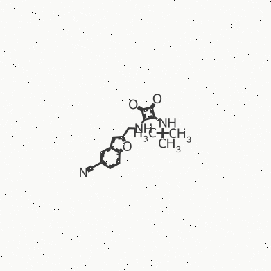 CC(C)(C)Nc1c(NCc2cc3cc(C#N)ccc3o2)c(=O)c1=O